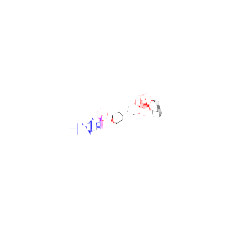 O=C(Oc1ccc([C@H]2CC[C@]3(CC2)OO[C@]2(O3)C3CC4CC(C3)CC2C4)cc1)N1CCNCC1